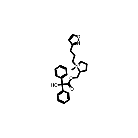 C[N+]1(CCCc2ccon2)CCCC1COC(=O)C(O)(c1ccccc1)c1ccccc1